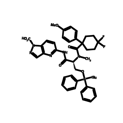 COc1ccc(C2(C(=O)N(C)[C@H](CO[Si](c3ccccc3)(c3ccccc3)C(C)(C)C)C(=O)Nc3ccc4c(cnn4C(=O)O)n3)CCC(F)(F)CC2)cc1